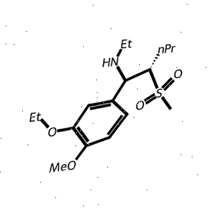 CCC[C@@H](C(NCC)c1ccc(OC)c(OCC)c1)S(C)(=O)=O